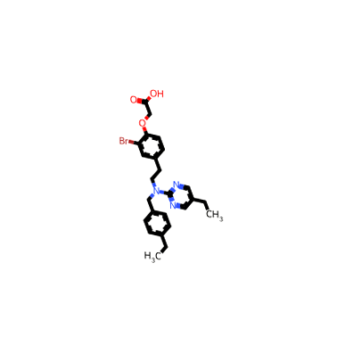 CCc1ccc(CN(CCc2ccc(OCC(=O)O)c(Br)c2)c2ncc(CC)cn2)cc1